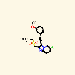 CCOC(=O)CS(=O)(=O)Cc1nc2ccc(Cl)cn2c1C#Cc1cccc(OC(F)(F)F)c1